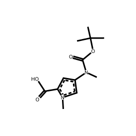 CN(C(=O)OC(C)(C)C)c1cc(C(=O)O)n(C)c1